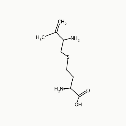 C=C(C)C(N)CSCC[C@H](N)C(=O)O